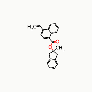 C=Cc1ccc(C(=O)OC2(C)Cc3ccccc3C2)c2ccccc12